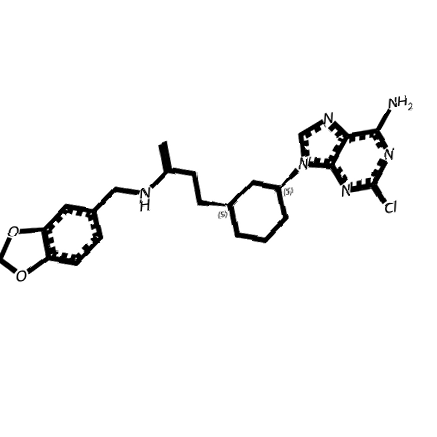 C=C(CC[C@@H]1CCC[C@H](n2cnc3c(N)nc(Cl)nc32)C1)NCc1ccc2c(c1)OCO2